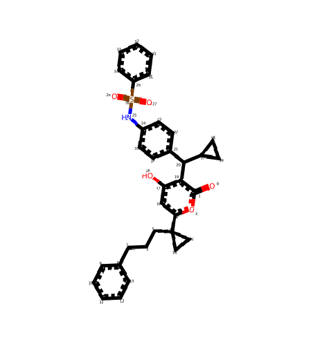 O=c1oc(C2(CCCc3ccccc3)CC2)cc(O)c1C(c1ccc(NS(=O)(=O)c2ccccc2)cc1)C1CC1